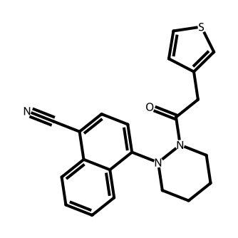 N#Cc1ccc(N2CCCCN2C(=O)Cc2ccsc2)c2ccccc12